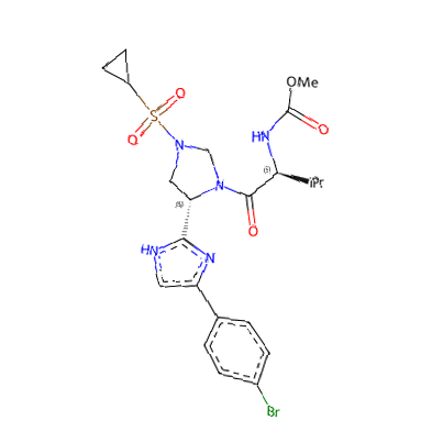 COC(=O)N[C@H](C(=O)N1CN(S(=O)(=O)C2CC2)C[C@H]1c1nc(-c2ccc(Br)cc2)c[nH]1)C(C)C